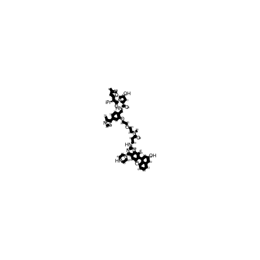 Cc1cc([C@@H](C(=O)N2C[C@H](O)C[C@H]2C(=O)NCc2ccc(-c3scnc3C)cc2OCCOCCN(C)C(=O)CCNc2nc(N3CCNCC3)c3cc(Cl)c(-c4cc(O)cc5ccccc45)c(F)c3n2)C(C)C)on1